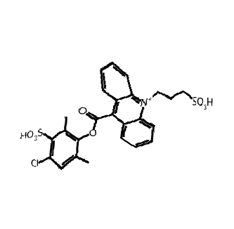 Cc1cc(Cl)c(S(=O)(=O)O)c(C)c1OC(=O)c1c2ccccc2[n+](CCCS(=O)(=O)O)c2ccccc12